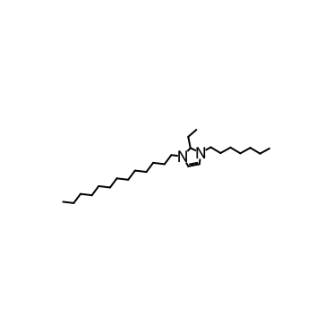 CCCCCCCCCCCCCN1C=CN(CCCCCCC)C1CC